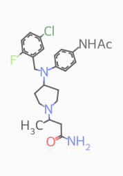 CC(=O)Nc1ccc(N(Cc2cc(Cl)ccc2F)C2CCN(C(C)CC(N)=O)CC2)cc1